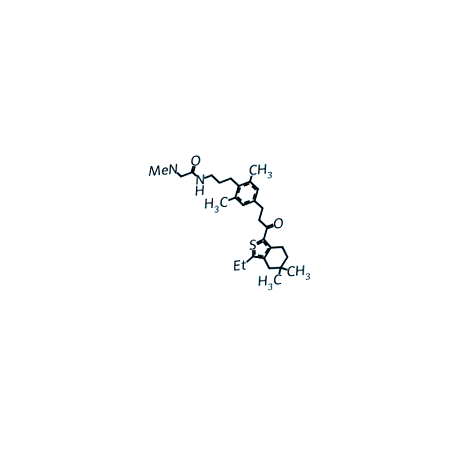 CCc1sc(C(=O)CCc2cc(C)c(CCCNC(=O)CNC)c(C)c2)c2c1CC(C)(C)CC2